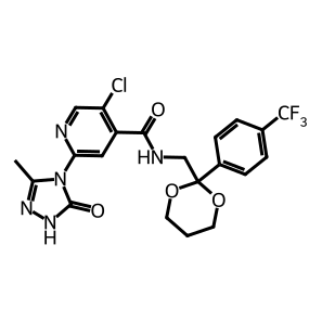 Cc1n[nH]c(=O)n1-c1cc(C(=O)NCC2(c3ccc(C(F)(F)F)cc3)OCCCO2)c(Cl)cn1